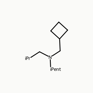 CCCC(C)N(CC(C)C)CC1CCC1